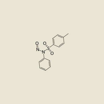 Cc1ccc(S(=O)(=O)N(N=O)c2ccccc2)cc1